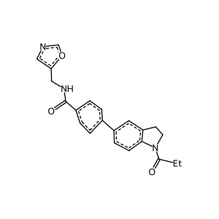 CCC(=O)N1CCc2cc(-c3ccc(C(=O)NCc4cnco4)cc3)ccc21